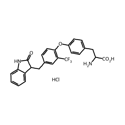 Cl.NC(Cc1ccc(Oc2ccc(CC3C(=O)Nc4ccccc43)cc2C(F)(F)F)cc1)C(=O)O